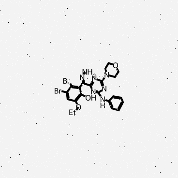 CCOc1cc(Br)c(Br)c(C(=NN)c2nc(Nc3ccccc3)nc(N3CCOCC3)n2)c1O